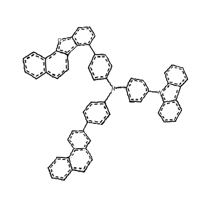 c1ccc2c(c1)ccc1cc(-c3ccc(N(c4ccc(-c5cccc6oc7c8ccccc8ccc7c56)cc4)c4ccc(-n5c6ccccc6c6ccccc65)cc4)cc3)ccc12